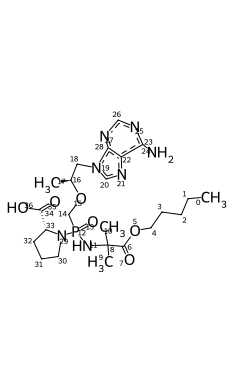 CCCCCOC(=O)C(C)(C)NP(=O)(CO[C@@H](C)Cn1cnc2c(N)ncnc21)N1CCC[C@@H]1C(=O)O